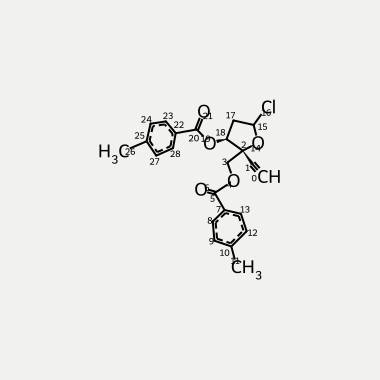 C#C[C@]1(COC(=O)c2ccc(C)cc2)OC(Cl)C[C@@H]1OC(=O)c1ccc(C)cc1